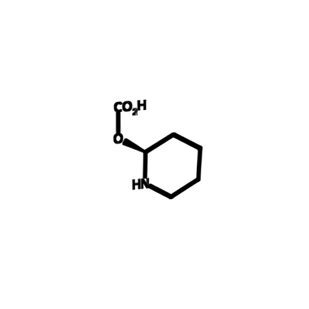 O=C(O)O[C@H]1CCCCN1